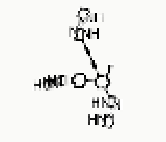 Cl.Cl.Cl.Cl.Fc1cc(-c2cnc([C@@H]3CCCN3)[nH]2)cc(-c2ccccc2)c1C#CC#Cc1cnc([C@@H]2CCCN2)[nH]1